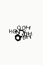 C[C@]1(O)C(O)C(=O)N(O)c2ccccc2N1O